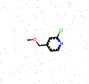 COCc1[c]c(Cl)ncc1